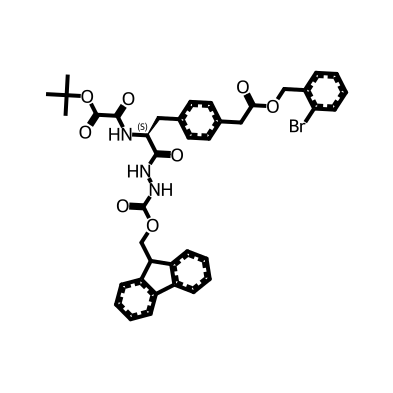 CC(C)(C)OC(=O)C(=O)N[C@@H](Cc1ccc(CC(=O)OCc2ccccc2Br)cc1)C(=O)NNC(=O)OCC1c2ccccc2-c2ccccc21